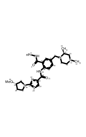 CCCNC(=O)c1cc(CN2CCN(C)C[C@@H]2C)ccc1NC(=O)c1csc(N2CC[C@H](OC)C2)n1